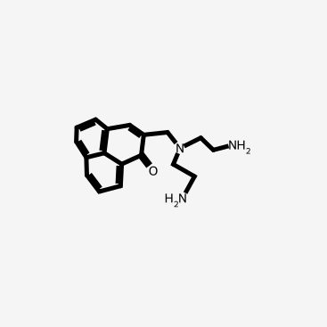 NCCN(CCN)CC1=Cc2cccc3cccc(c23)C1=O